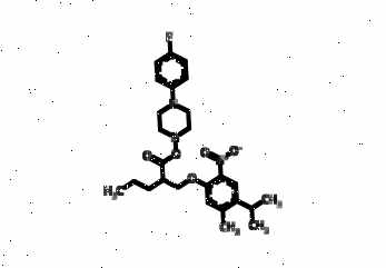 CCCC(COc1cc(C)c(C(C)C)cc1[N+](=O)[O-])C(=O)ON1CCN(c2ccc(F)cc2)CC1